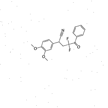 COc1ccc(C(C#N)CC(F)(F)C(=O)c2ccccc2)cc1OC